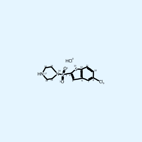 Cl.O=S(=O)(c1cc2cc(Cl)ccc2s1)N1CCNCC1